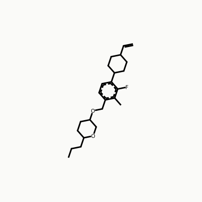 C=CC1CCC(c2ccc(COC3CCC(CCC)OC3)c(C)c2F)CC1